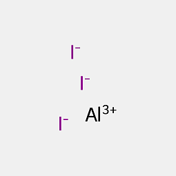 [Al+3].[I-].[I-].[I-]